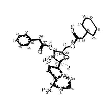 C[C@@]1(c2ccc3c(N)ncnn23)O[C@H](COC(=O)CC2CCCCC2)[C@@H](OC(=O)Cc2ccccc2)[C@H]1O